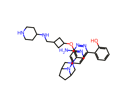 Nc1nnc(-c2ccccc2O)cc1N1CC2CCC(C1)N2c1ccnc(OC2CC(CNC3CCNCC3)C2)c1